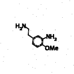 COc1ccc(CCN)cc1N